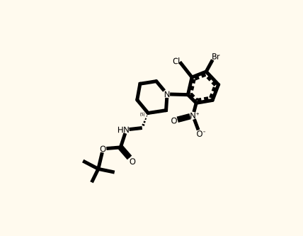 CC(C)(C)OC(=O)NC[C@@H]1CCCN(c2c([N+](=O)[O-])ccc(Br)c2Cl)C1